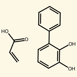 C=CC(=O)O.Oc1cccc(-c2ccccc2)c1O